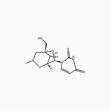 CN1C[C@]2(CO)O[C@@H](n3ccc(=O)[nH]c3=O)[C@H](O1)[C@@H]2O